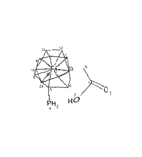 CC(=O)O.P[C]12[CH]3[CH]4[CH]5[CH]1[Fe]45321678[CH]2[CH]1[CH]6[CH]7[CH]28